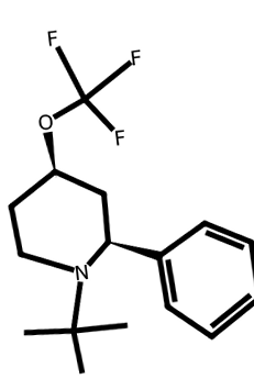 CC(C)(C)N1CC[C@@H](OC(F)(F)F)C[C@H]1c1ccccc1